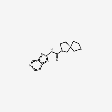 O=C(Nc1nc2cnccc2s1)N1CC[C@]2(CCOC2)C1